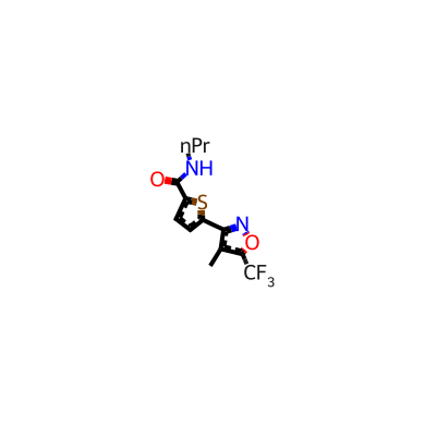 CCCNC(=O)c1ccc(-c2noc(C(F)(F)F)c2C)s1